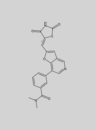 CN(C)C(=O)c1cccc(-c2cncc3cc(/C=C4\SC(=O)NC4=O)oc23)c1